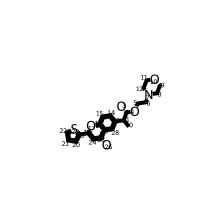 CC(C(=O)OCCN1CCOCC1)c1ccc2oc(-c3cccs3)cc(=O)c2c1